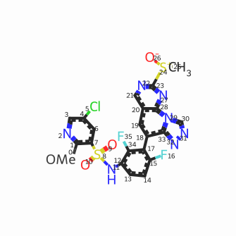 COc1ncc(Cl)cc1S(=O)(=O)Nc1ccc(F)c(-c2cc3cnc([S+](C)[O-])nc3n3cnnc23)c1F